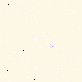 Cc1ccc(N2CCN(C(=O)CCOC[C@H](C)Oc3cn[nH]c(=O)c3C(F)(F)F)CC2)nc1